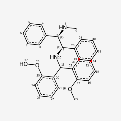 CN[C@H](c1ccccc1)[C@H](NC(c1ccccc1OC)c1ccccc1OO)c1ccccc1